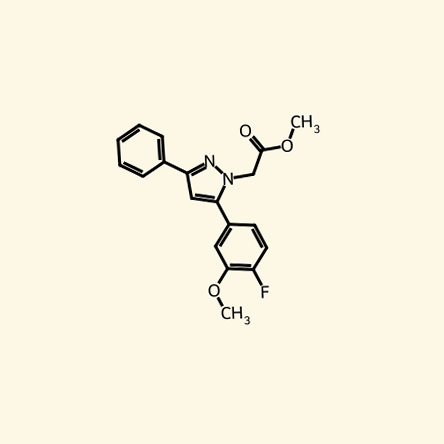 COC(=O)Cn1nc(-c2ccccc2)cc1-c1ccc(F)c(OC)c1